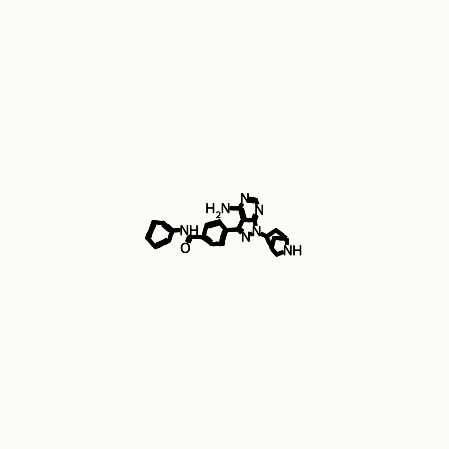 Nc1ncnc2c1c(-c1ccc(C(=O)Nc3ccccc3)cc1)nn2C1CC2CC1CN2